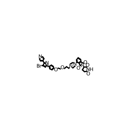 O=C1CCC(N2C(=O)c3cccc(N4CCN(CCCOCCOc5ccc(-n6cc(Br)c(-c7ccncc7)n6)cc5)CC4)c3C2=O)C(=O)N1